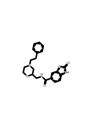 O=C(NCC1CN(CCc2ccccc2)CCO1)c1ccc2[nH]c(=O)oc2c1